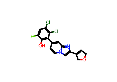 Oc1c(F)cc(Cl)c(Cl)c1-c1ccn2cc(C3=CCOC3)nc2c1